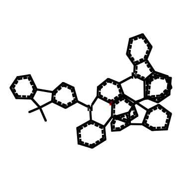 CC1(C)c2ccccc2-c2ccc(N(c3ccc4c(c3)C3(c5ccccc5-c5ccccc53)c3cccc5c6ccccc6n-4c35)c3ccccc3-c3ccc(-c4ccccc4)cc3)cc21